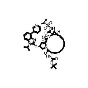 CC(C)n1c(O[C@@H]2C[C@H]3C(=O)N[C@]4(C(=O)NS(=O)(=O)N(C)C)C[C@H]4/C=C\CCCCC[C@H](NC(=O)OC(C)(C)C)C(=O)N3C2)nc2c(-c3cccnc3)cccc21